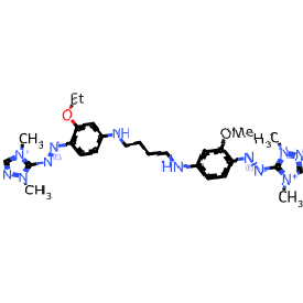 CCOc1cc(NCCCCNc2ccc(/N=N/c3n(C)nc[n+]3C)c(OC)c2)ccc1/N=N/c1n(C)nc[n+]1C